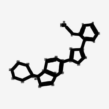 OCc1ccccc1C1=CCC(c2ccc3c(c2)C=CC3C2CCCCC2)=C1